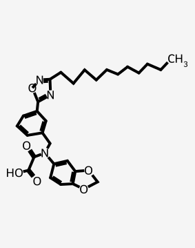 CCCCCCCCCCCc1noc(-c2cccc(CN(C(=O)C(=O)O)c3ccc4c(c3)OCO4)c2)n1